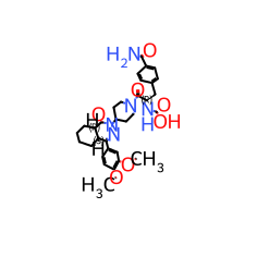 COc1ccc(C2=NN(C3CCN(C(=O)[C@@H](Cc4ccc(C(N)=O)cc4)NC(=O)O)CC3)C(=O)[C@@H]3CCCC[C@H]23)cc1OC